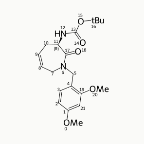 COc1ccc(CN2CC=CC[C@@H](NC(=O)OC(C)(C)C)C2=O)c(OC)c1